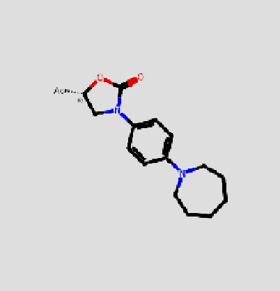 CC(=O)[C@H]1CN(c2ccc(N3CCCCCC3)cc2)C(=O)O1